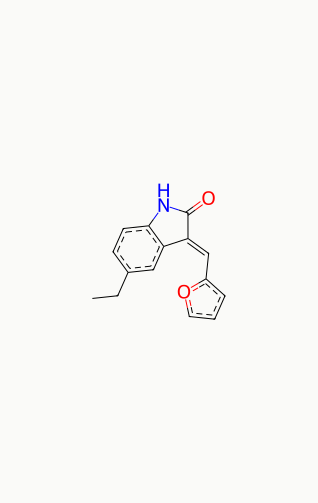 CCc1ccc2c(c1)/C(=C\c1ccco1)C(=O)N2